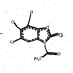 CC(=O)n1c(=O)oc2c(Cl)c(Cl)c(Cl)cc21